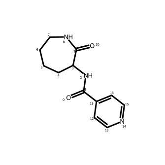 O=C(NC1CCCCNC1=O)c1ccncc1